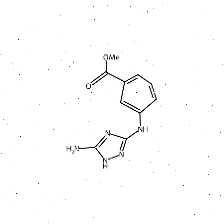 COC(=O)c1cccc(Nc2n[nH]c(N)n2)c1